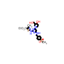 CCOC(=O)c1sc(Nc2nc(NCc3ccc(S(C)(=O)=O)cc3)cc(N3CCC(O)C(CO)C3)n2)nc1C